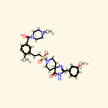 Cc1ccc(C(=O)N2CCN(C)CC2)cc1CCS(=O)(=O)N1CCC2(CC1)N=C(c1cccc(OF)c1)NC2=O